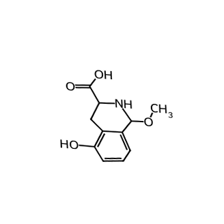 COC1NC(C(=O)O)Cc2c(O)cccc21